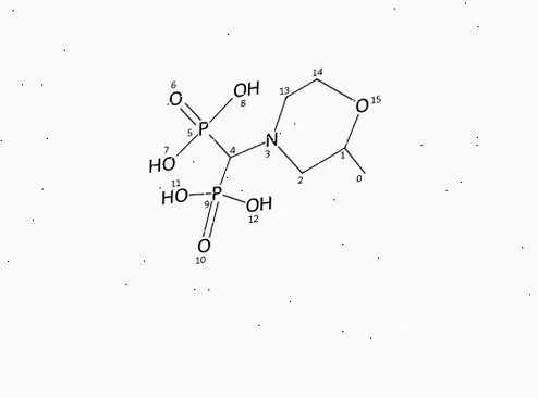 CC1CN(C(P(=O)(O)O)P(=O)(O)O)CCO1